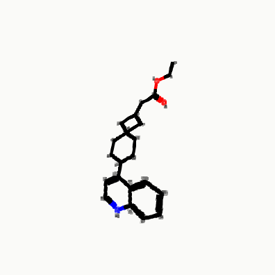 CCOC(=O)CC1CC2(CCC(c3ccnc4ccccc34)CC2)C1